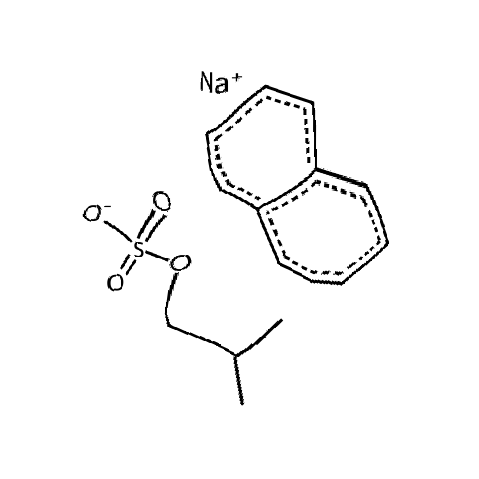 CC(C)COS(=O)(=O)[O-].[Na+].c1ccc2ccccc2c1